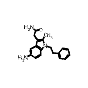 Cc1c(CC(N)=O)c2cc(N)ccc2n1CCc1ccccc1